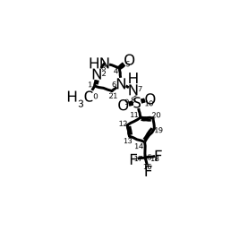 CC1=NNC(=O)N(NS(=O)(=O)c2ccc(C(F)(F)F)cc2)C1